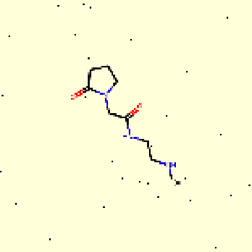 CCC(C)NCCNC(=O)CN1CCCC1=O